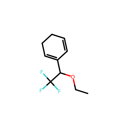 CCOC(C1=CCCC=C1)C(F)(F)F